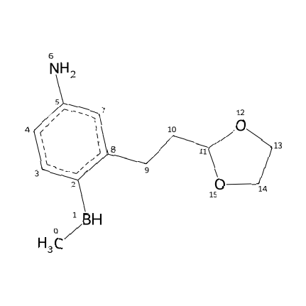 CBc1ccc(N)cc1CCC1OCCO1